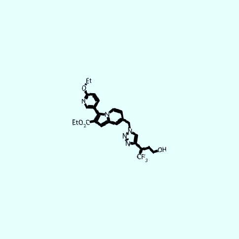 CCOC(=O)c1cc2cc(Cn3cc(C(CCO)C(F)(F)F)nn3)ccn2c1-c1ccc(OCC)nc1